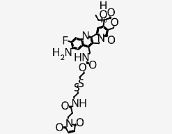 CC[C@@]1(O)C(=O)OCc2c1cc1n(c2=O)Cc2c-1nc1cc(F)c(N)cc1c2CNC(=O)OCCSSCCNC(=O)CCN1C(=O)C=CC1=O